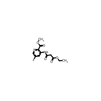 CCOC(=O)CC(=O)Nc1cc(F)cnc1C(=O)OC